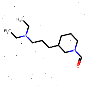 CCN(CC)CCCC1CCCN(C=O)C1